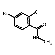 CNC(=O)c1ccc(Br)cc1Cl